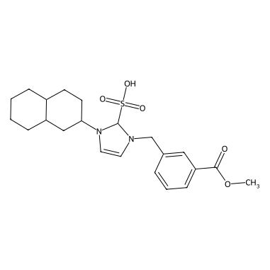 COC(=O)c1cccc(CN2C=CN(C3CCC4CCCCC4C3)C2S(=O)(=O)O)c1